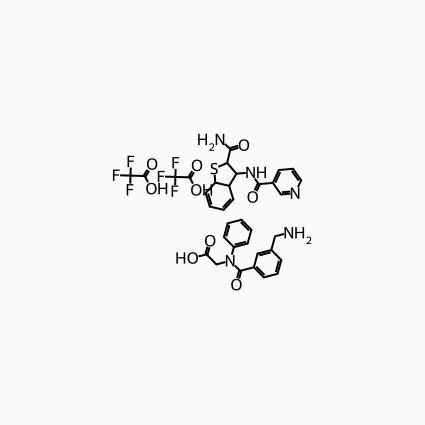 NC(=O)C1SC2C=CC=CC2C1NC(=O)c1cccnc1.NCc1cccc(C(=O)N(CC(=O)O)c2ccccc2)c1.O=C(O)C(F)(F)F.O=C(O)C(F)(F)F